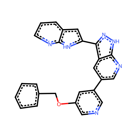 c1ccc(COc2cncc(-c3cnc4[nH]nc(-c5cc6cccnc6[nH]5)c4c3)c2)cc1